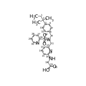 CCC(C)(C)c1ccc(CN(Cc2cccc(NCC(=O)O)n2)S(=O)(=O)c2ccccn2)cc1